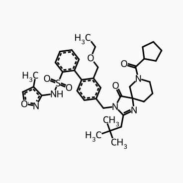 CCOCc1cc(CN2C(=O)C3(CCCN(C(=O)C4CCCC4)C3)N=C2CC(C)(C)C)ccc1-c1ccccc1S(=O)(=O)Nc1nocc1C